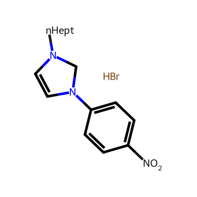 Br.CCCCCCCN1C=CN(c2ccc([N+](=O)[O-])cc2)C1